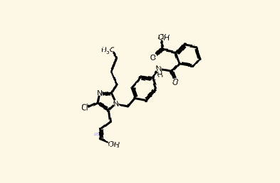 CCCCc1nc(Cl)c(C/C=C\O)n1Cc1ccc(NC(=O)c2ccccc2C(=O)O)cc1